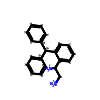 NCC(N)c1ccccc1C(c1ccccc1)c1ccccc1